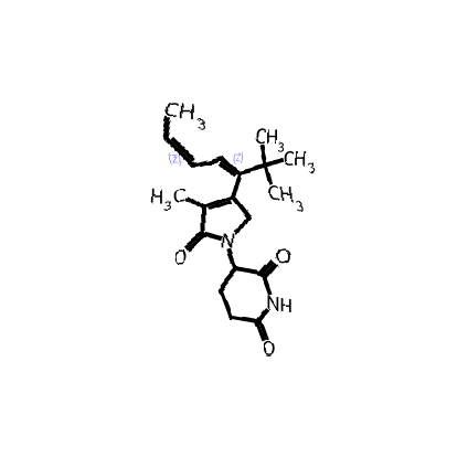 C/C=C\C=C(/C1=C(C)C(=O)N(C2CCC(=O)NC2=O)C1)C(C)(C)C